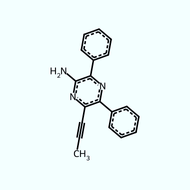 CC#Cc1nc(N)c(-c2ccccc2)nc1-c1ccccc1